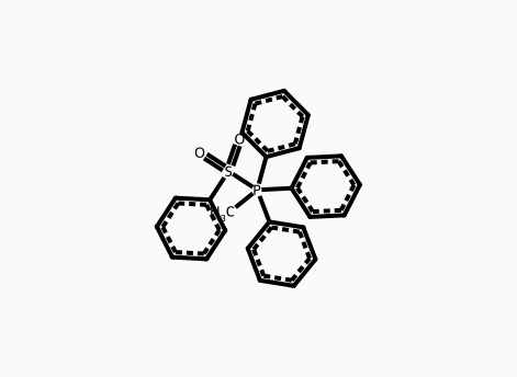 CP(c1ccccc1)(c1ccccc1)(c1ccccc1)S(=O)(=O)c1ccccc1